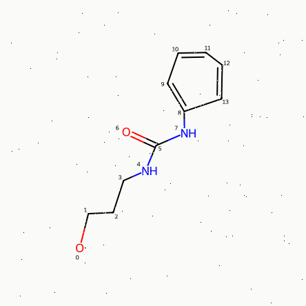 [O]CCCNC(=O)Nc1ccccc1